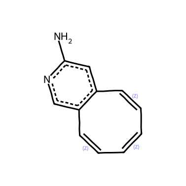 Nc1cc2c(cn1)\C=C/C=C\C=C/2